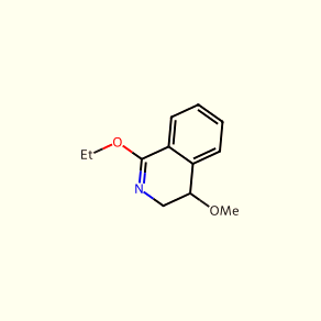 CCOC1=NCC(OC)c2ccccc21